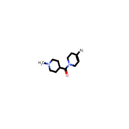 CC(=O)C1=CCN(C(=O)C2CCN(C)CC2)CC1